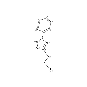 C=CCc1nc(-c2ccccn2)n[nH]1